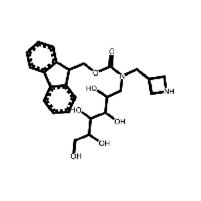 O=C(OCC1c2ccccc2-c2ccccc21)N(CC1CNC1)CC(O)C(O)C(O)C(O)CO